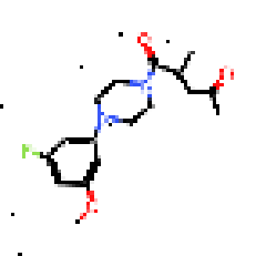 COc1cc(F)cc(N2CCN(C(=O)C(C)CC(C)=O)CC2)c1